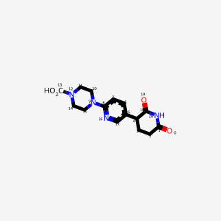 O=C1CCC(c2ccc(N3CCN(C(=O)O)CC3)nc2)C(=O)N1